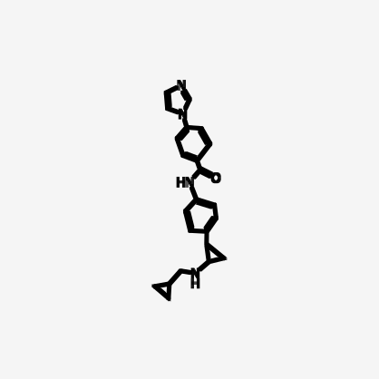 O=C(Nc1ccc(C2CC2NCC2CC2)cc1)c1ccc(-n2ccnc2)cc1